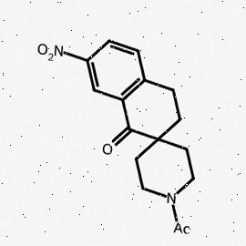 CC(=O)N1CCC2(CCc3ccc([N+](=O)[O-])cc3C2=O)CC1